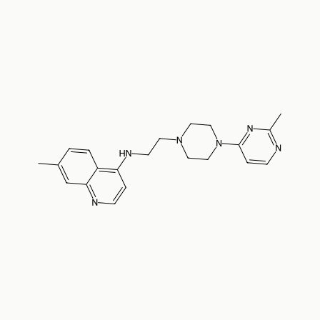 Cc1ccc2c(NCCN3CCN(c4ccnc(C)n4)CC3)ccnc2c1